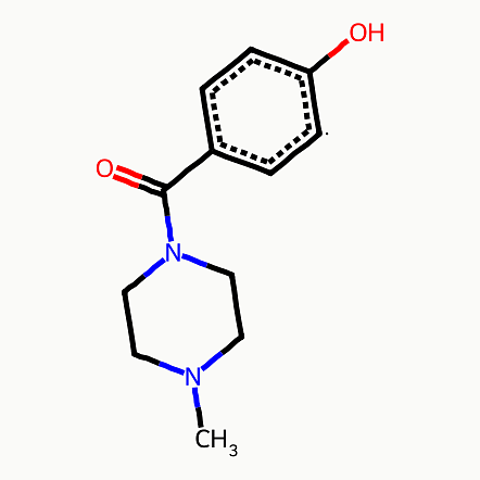 CN1CCN(C(=O)c2c[c]c(O)cc2)CC1